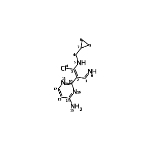 N=C/C(=C(/Cl)NCC1CC1)c1nccc(N)n1